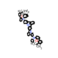 CC(C)c1cccc2c1oc1c(N(c3ccccc3)c3ccc4c(c3)c3cccc5c6cc7c(cc6n4c35)c3cccc4c5cc(N(c6ccccc6)c6cccc8c6oc6c(C(C)(C)C)cccc68)ccc5n7c43)cccc12